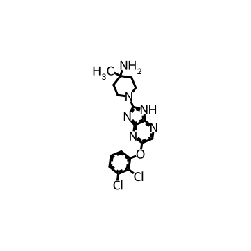 CC1(N)CCN(c2nc3nc(Oc4cccc(Cl)c4Cl)cnc3[nH]2)CC1